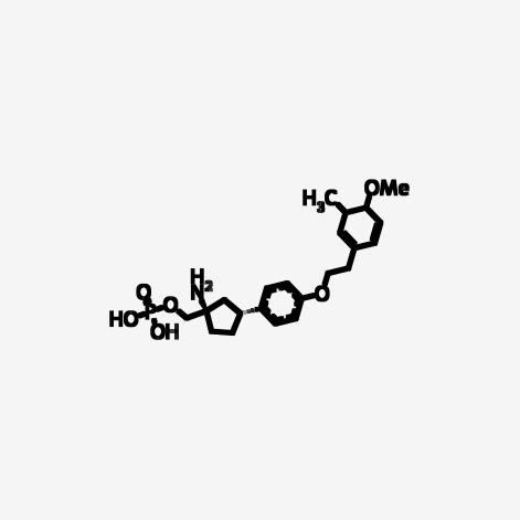 COC1C=CC(CCOc2ccc([C@@H]3CC[C@](N)(COP(=O)(O)O)C3)cc2)=CC1C